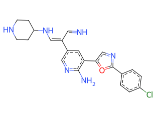 N=C/C(=C\NC1CCNCC1)c1cnc(N)c(-c2cnc(-c3ccc(Cl)cc3)o2)c1